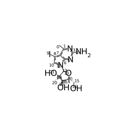 Cc1nc(N)nc2c1c(I)cn2C1O[C@H](CO)[C@@H](O)[C@@]1(C)O